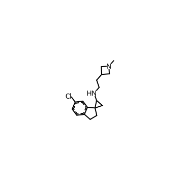 CN1CC(CCNC2CC23CCc2ccc(Cl)cc23)C1